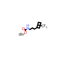 CC(C)(C)OC(=O)NCCCC1CC2(C(F)(F)F)CCC12